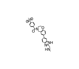 CNCc1nc2ccc(-c3ccc4c(c3)CN(C(=O)c3ccc(S(C)(=O)=O)cc3)CCO4)cc2[nH]1